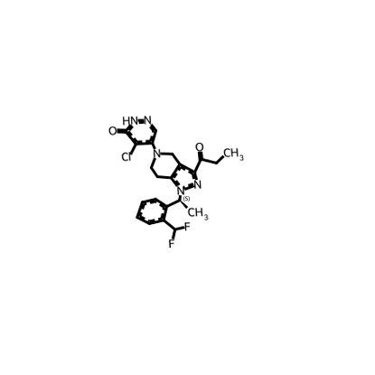 CCC(=O)c1nn([C@@H](C)c2ccccc2C(F)F)c2c1CN(c1cn[nH]c(=O)c1Cl)CC2